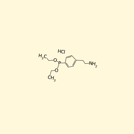 CCOP(OCC)c1ccc(CCN)cc1.Cl